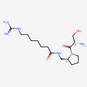 N=C(N)NCCCCCCC(=O)NC[C@@H]1CCCN1C(=O)[C@@H](N)CO